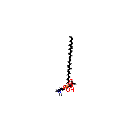 CCCCCCCCCCCCCCCCCCCCCC(COP(O)OCCN(C)C)OC(C)=O